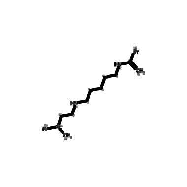 C=C(NCCCCCNCCN(C)C(C)C)C(C)C